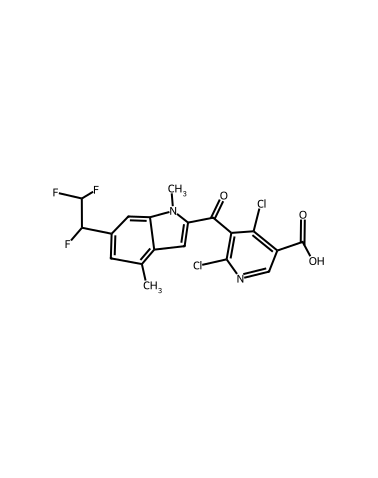 Cc1cc(C(F)C(F)F)cc2c1cc(C(=O)c1c(Cl)ncc(C(=O)O)c1Cl)n2C